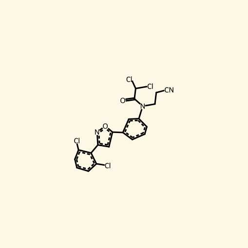 N#CCCN(C(=O)C(Cl)Cl)c1cccc(-c2cc(-c3c(Cl)cccc3Cl)no2)c1